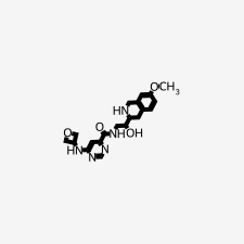 COc1ccc2c(c1)CNC(C(O)CNC(=O)c1cc(NC3COC3)ncn1)C2